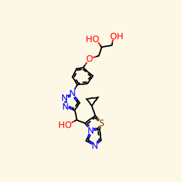 OCC(O)COc1ccc(-n2cc(C(O)c3c(C4CC4)sc4cncn34)nn2)cc1